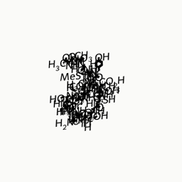 CC[C@H](C)[C@H](NC(=O)[C@H](CC(C)C)NC(=O)[C@H](CO)NC(=O)[C@H](CCC(=O)O)NC(=O)[C@H](CC(C)C)NC(=O)[C@H](C)NC(=O)[C@H](C)NC(=O)[C@H](CS)NC(=O)[C@H](Cc1ccc(O)cc1)NC(=O)[C@H](CCSC)NC(=O)CNC(=O)[C@H](C)NC(=O)[C@@H](N)[C@@H](C)O)C(=O)N[C@@H](CC(N)=O)C(=O)N[C@H](C(=O)N[C@@H](CO)C(=O)NCC(=O)N[C@@H](CS)C(=O)N[C@@H](CO)C(=O)N[C@@H](C)C(=O)O)C(C)C